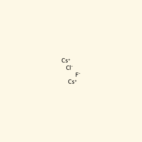 [Cl-].[Cs+].[Cs+].[F-]